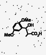 COc1ccc(OC)c(C(O)C(C)C(=O)O)c1